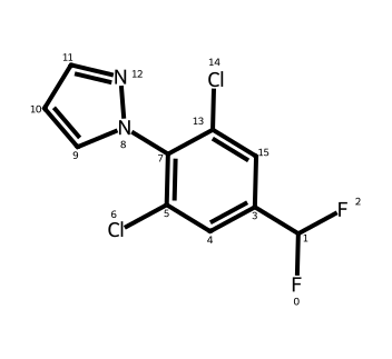 FC(F)c1cc(Cl)c(-n2cccn2)c(Cl)c1